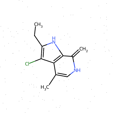 C=C1NC=C(C)c2c1[nH]c(CC)c2Cl